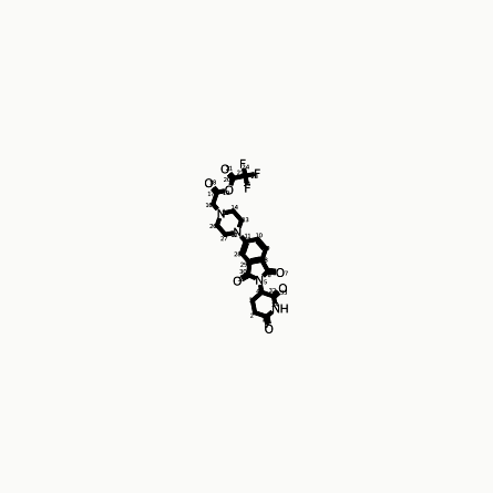 O=C1CCC(N2C(=O)c3ccc(N4CCN(CC(=O)OC(=O)C(F)(F)F)CC4)cc3C2=O)C(=O)N1